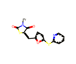 CC(C)N1C(=O)SC(=Cc2ccc(Sc3ccccn3)o2)C1=O